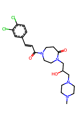 CN1CCN(CC(O)CN2CCN(C(=O)/C=C/c3ccc(Cl)c(Cl)c3)CCC2=O)CC1